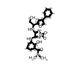 CCC(NC1=NS(=O)(=O)N=C1Nc1cccc(C(=O)N(C)C)c1O)c1cc(-c2ccccc2)co1